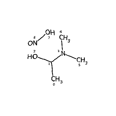 CC(O)N(C)C.O=NO